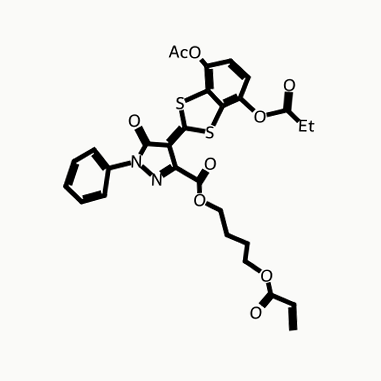 C=CC(=O)OCCCCOC(=O)C1=NN(c2ccccc2)C(=O)/C1=C1\Sc2c(OC(C)=O)ccc(OC(=O)CC)c2S1